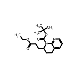 CCOC(=O)CCC1CCc2cccnc2N1C(=O)OC(C)(C)C